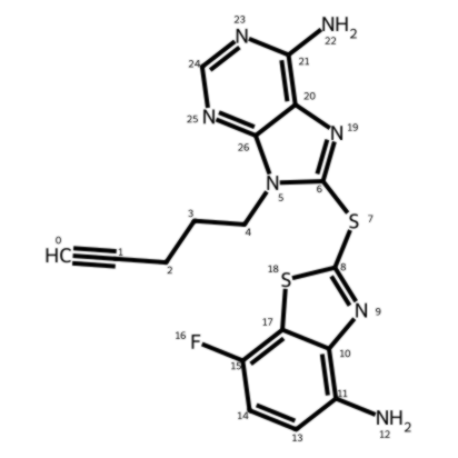 C#CCCCn1c(Sc2nc3c(N)ccc(F)c3s2)nc2c(N)ncnc21